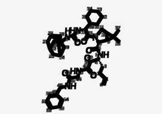 C=CCC[C@@H](NC(=O)[C@@H]1C2C(CN1C(=O)[C@@H](NC(=O)NC13CC4CC(CC(C4)C1)C3)C1CCCCC1)C2(C)C)C(=O)C(=O)NCC(=O)NCc1ccccc1